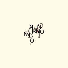 C#CC(=O)NC1(C(C)C)CC2CCC(C1)N2c1ccc(-c2cc(OCC)cn3ncc(C#N)c23)cn1